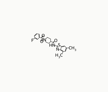 Cc1cc(C)c2nc(NC(=O)C3CCN(S(=O)(=O)c4cccc(F)c4)CC3)sc2c1